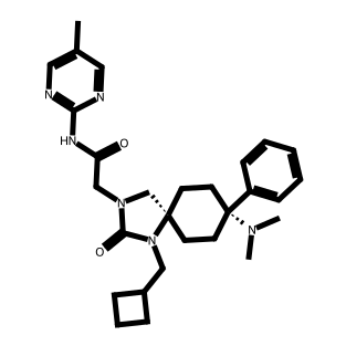 Cc1cnc(NC(=O)CN2C[C@]3(CC[C@@](c4ccccc4)(N(C)C)CC3)N(CC3CCC3)C2=O)nc1